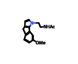 COc1ccc2c(c1)-c1c(ccn1CCNC(C)=O)C2